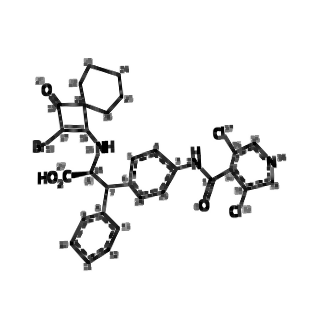 O=C(Nc1ccc(C(c2ccccc2)[C@H](NC2=C(Br)C(=O)C23CCCCC3)C(=O)O)cc1)c1c(Cl)cncc1Cl